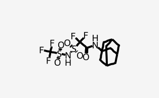 O=C(NC12CC3CC(CC(C3)C1)C2)C(F)(F)S(=O)(=O)NS(=O)(=O)C(F)(F)F